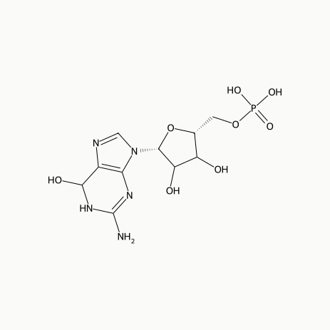 NC1=Nc2c(ncn2[C@@H]2O[C@H](COP(=O)(O)O)C(O)C2O)C(O)N1